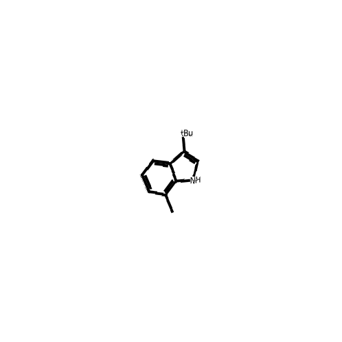 Cc1cccc2c(C(C)(C)C)c[nH]c12